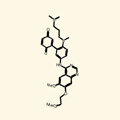 COCCOc1cc2ncnc(Nc3ccc(N(C)CCCN(C)C)c(C4=CC(=O)C=CC4=O)c3)c2cc1OC